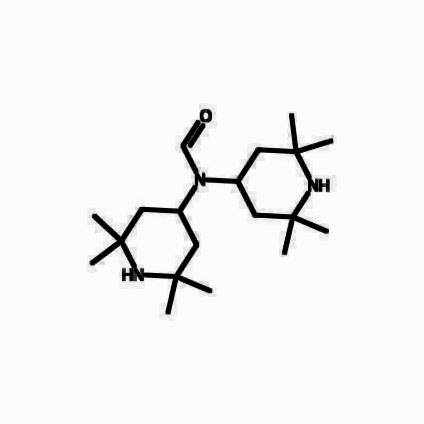 CC1(C)CC(N(C=O)C2CC(C)(C)NC(C)(C)C2)CC(C)(C)N1